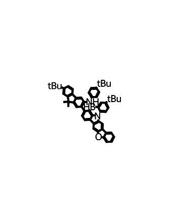 CC(C)(C)c1ccc(Nc2cc3c(cc2-c2ccc4c5cc6oc7ccccc7c6cc5n5c4c2Bc2cc(C(C)(C)C)ccc2-5)C(C)(C)c2cc(C(C)(C)C)ccc2-3)cc1